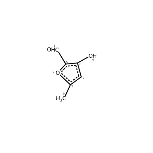 Cc1cc(O)c(C=O)o1